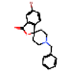 O=C1OC2(CCN(Cc3ccccc3)CC2)c2ccc(Br)cc21